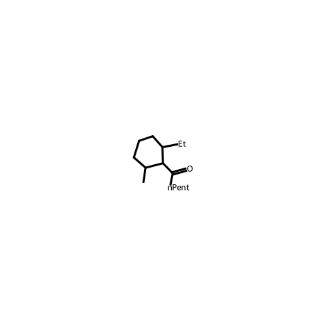 CCCCCC(=O)C1C(C)CCCC1CC